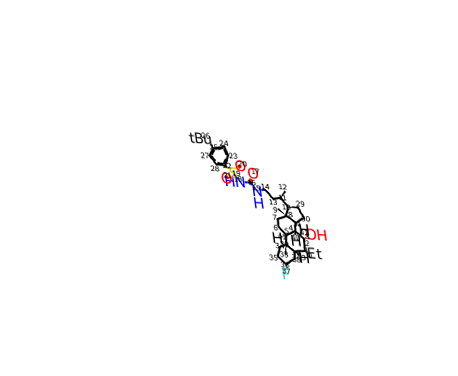 CC[C@H]1[C@@H](O)[C@@H]2[C@H](CC[C@]3(C)[C@@H]([C@H](C)CCNC(=O)NS(=O)(=O)c4ccc(C(C)(C)C)cc4)CC[C@@H]23)[C@@]2(C)CC[C@H](F)C[C@@H]12